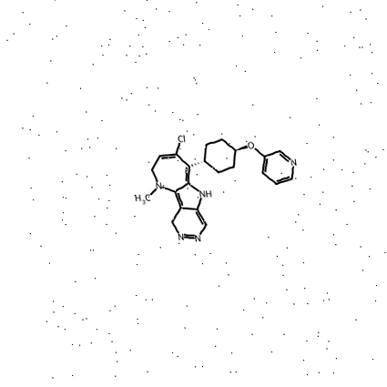 CN1CC=C(Cl)C([C@H]2CC[C@H](Oc3cccnc3)CC2)=c2[nH]c3c(c21)CN=NC=3